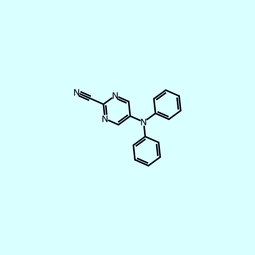 N#Cc1ncc(N(c2ccccc2)c2ccccc2)cn1